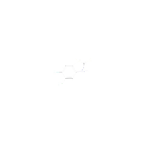 Fc1cc2sc(=S)[nH]c2cc1Cl